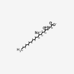 CCCCCCCCCCCCCCCC(=O)CNCC(=O)[O-].[Na+]